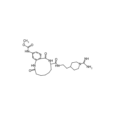 COC(=O)Nc1ccc2c(c1)NC(=O)CCCCCC(C(=O)NCCC1CCN(C(=N)N)CC1)NC2=O